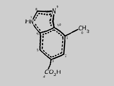 Cc1cc(C(=O)O)cc2[nH]cnc12